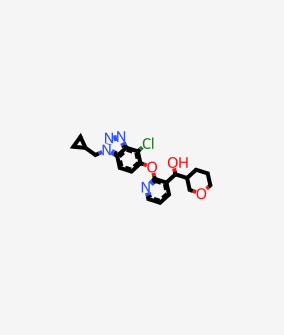 OC(c1cccnc1Oc1ccc2c(nnn2CC2CC2)c1Cl)C1CCCOC1